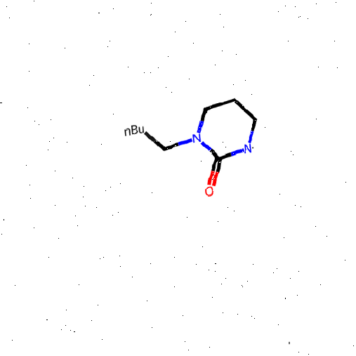 CCCCCN1CCC[N]C1=O